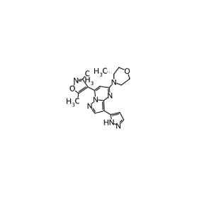 Cc1noc(C)c1-c1cc(N2CCOC[C@H]2C)nc2c(-c3ccn[nH]3)cnn12